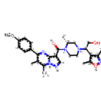 COc1ccc(-c2nc3c(C(=O)N4CCN([C@@H](CO)c5c(C)noc5C)C[C@H]4C)cnn3c(C(F)(F)F)c2C)cc1